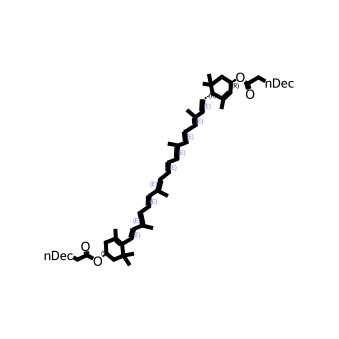 CCCCCCCCCCCC(=O)O[C@@H]1CC(C)=C(/C=C/C(C)=C/C=C/C(C)=C/C=C/C=C(C)/C=C/C=C(C)/C=C/[C@H]2C(C)=C[C@H](OC(=O)CCCCCCCCCCC)CC2(C)C)C(C)(C)C1